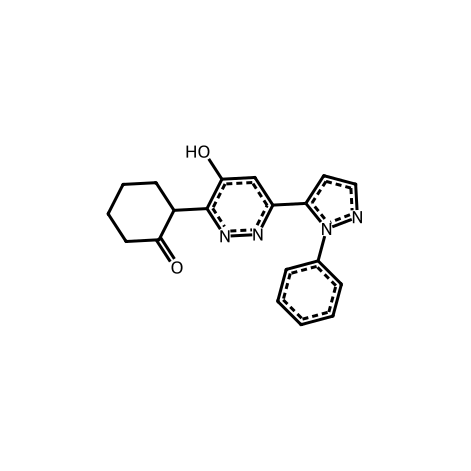 O=C1CCCCC1c1nnc(-c2ccnn2-c2ccccc2)cc1O